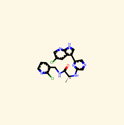 C[C@@H](Nc1cncc(-c2c[nH]c3ncc(Cl)cc23)n1)C(=O)NCc1cccnc1Cl